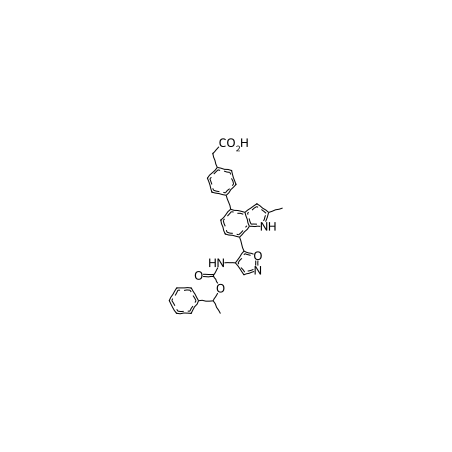 Cc1cc2c(-c3ccc(CC(=O)O)cc3)ccc(-c3oncc3NC(=O)OC(C)c3ccccc3)c2[nH]1